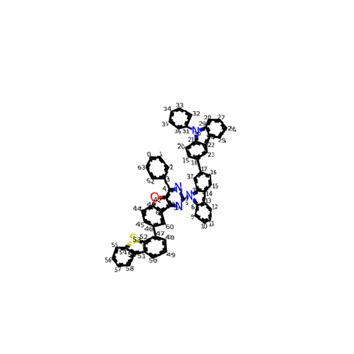 c1ccc(-c2nc(-n3c4ccccc4c4ccc(-c5ccc6c(c5)c5ccccc5n6-c5ccccc5)cc43)nc3c2oc2ccc(-c4cccc5c4sc4ccccc45)cc23)cc1